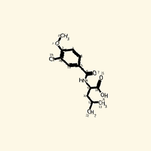 COc1ccc(C(=O)NC(CC(C)C)C(=O)O)cc1Cl